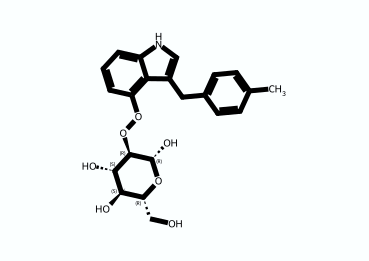 Cc1ccc(Cc2c[nH]c3cccc(OO[C@@H]4[C@@H](O)[C@H](O)[C@@H](CO)O[C@H]4O)c23)cc1